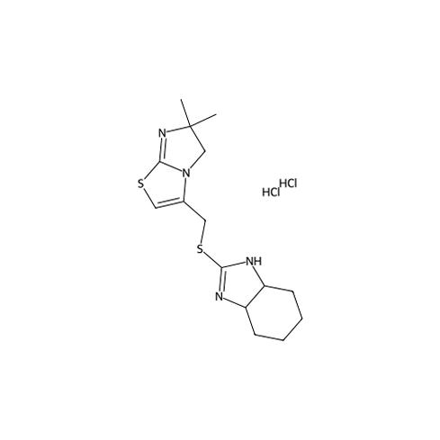 CC1(C)CN2C(CSC3=NC4CCCCC4N3)=CSC2=N1.Cl.Cl